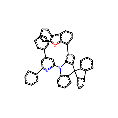 c1ccc(-c2cc(-c3ccccc3)nc(N3c4ccccc4C4(c5ccccc5-c5ccccc54)c4ccc(-c5cccc6c5oc5ccccc56)cc43)c2)cc1